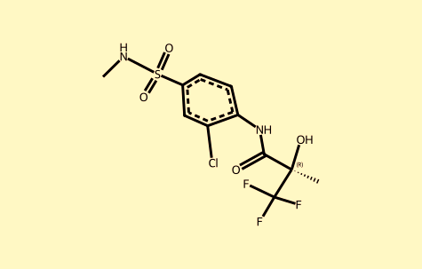 CNS(=O)(=O)c1ccc(NC(=O)[C@@](C)(O)C(F)(F)F)c(Cl)c1